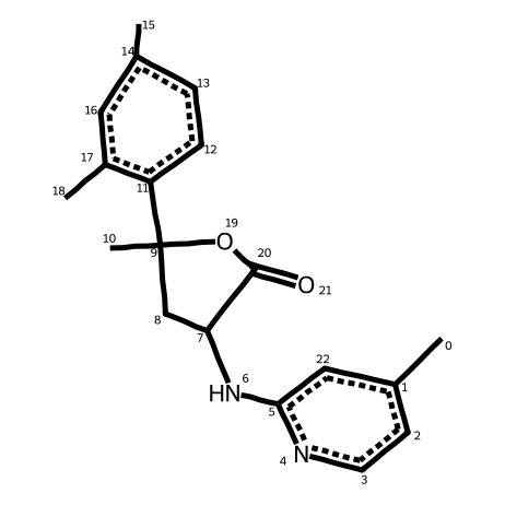 Cc1ccnc(NC2CC(C)(c3ccc(C)cc3C)OC2=O)c1